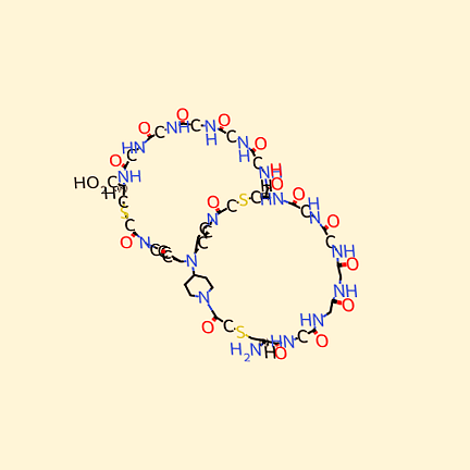 N[C@H]1CSCC(=O)N2CCC(CC2)N2C3CCN(CC3)C(=O)CSC[C@@H](C(=O)O)NC(=O)CNC(=O)CNC(=O)CNC(=O)CNC(=O)CNC(O)[C@H](CSCC(=O)N3CCC2CC3)NC(=O)CNC(=O)CNC(=O)CNC(=O)CNC(=O)CNC1=O